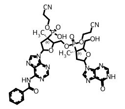 C[C@@]1(P(=O)(O)OCCC#N)CC(n2cnc3c(NC(=O)c4ccccc4)ncnc32)OC1COP(=O)(OCCC#N)[C@]1(C)CC(n2cnc3c(=O)[nH]cnc32)OC1CO